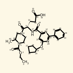 CCOC(=O)N1CCN(C(=O)[C@H](CCC(=O)O)NC(=O)c2cc(OC3CCCC3)nc(-c3ccccc3)n2)CC1C